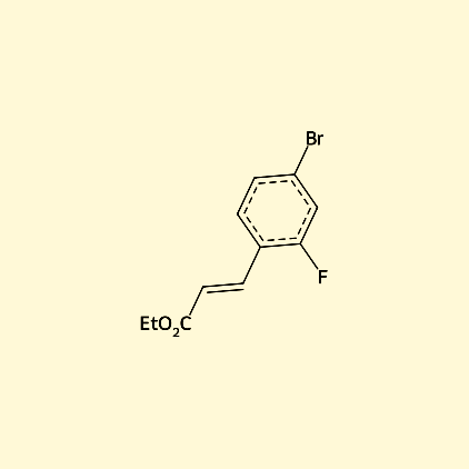 CCOC(=O)/C=C/c1ccc(Br)cc1F